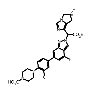 CCOC(=O)C(c1ncn2c1C[C@@H](F)C2)n1cc2c(F)cc(-c3ccc(N4CCN(C(=O)O)CC4)c(Cl)c3)cc2n1